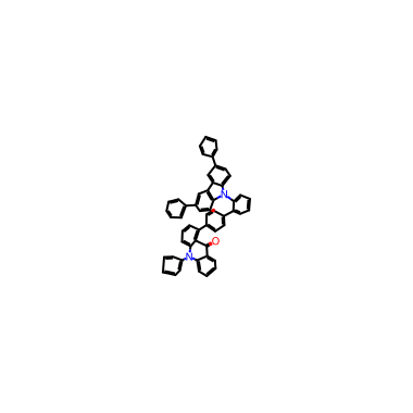 O=c1c2ccccc2n(-c2ccccc2)c2cccc(-c3ccc(-c4ccccc4-n4c5ccc(-c6ccccc6)cc5c5cc(-c6ccccc6)ccc54)cc3)c12